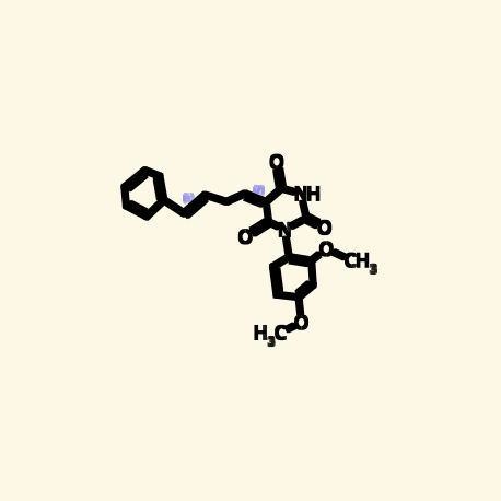 COc1ccc(N2C(=O)NC(=O)/C(=C/C/C=C/c3ccccc3)C2=O)c(OC)c1